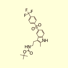 Cc1[nH]c2ccc(S(=O)(=O)c3ccc(C(F)(F)F)cc3)cc2c1CCNC(=O)OC(C)(C)C